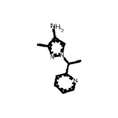 Cc1nn(C(C)c2ccccn2)cc1N